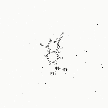 CCN(CC)c1ccc2c(C)cc(=S)oc2c1